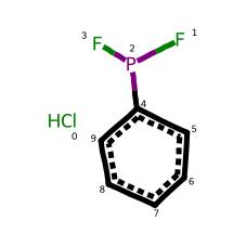 Cl.FP(F)c1ccccc1